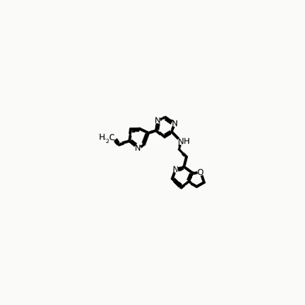 C=Cc1ccc(-c2cc(NCCc3nccc4c3OCC4)ncn2)cn1